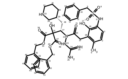 Cc1ccc(NS(=O)(=O)Cc2ccccc2)c(O)c1CC(=O)N(NC(=N)N)[C@@H](C[C@H]1CCCNC1)C(O)(C(=O)OCc1ccccc1)C(=O)OCc1ccccc1